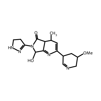 COC1CN=CC(C2=CC(C)C3C(=O)N(C4=NNCC4)C(O)C3=N2)C1